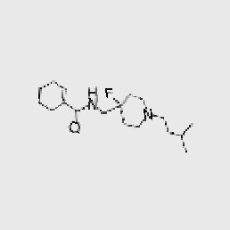 CC(C)CCN1CCC(F)(CNC(=O)C2=CCCCC2)CC1